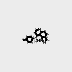 Cc1ccc(Nc2ccnc3ccc4cn[nH]c4c23)cc1